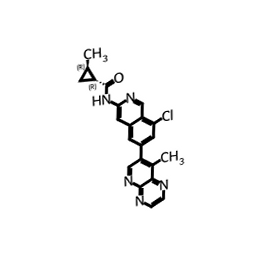 Cc1c(-c2cc(Cl)c3cnc(NC(=O)[C@@H]4C[C@H]4C)cc3c2)cnc2nccnc12